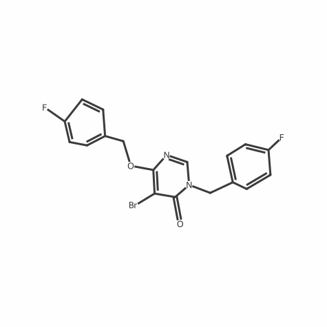 O=c1c(Br)c(OCc2ccc(F)cc2)ncn1Cc1ccc(F)cc1